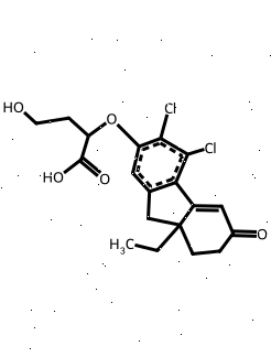 CCC12CCC(=O)C=C1c1c(cc(OC(CCO)C(=O)O)c(Cl)c1Cl)C2